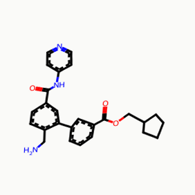 NCc1ccc(C(=O)Nc2ccncc2)cc1-c1cccc(C(=O)OCC2CCCC2)c1